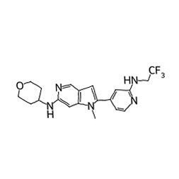 Cn1c(-c2ccnc(NCC(F)(F)F)c2)cc2cnc(NC3CCOCC3)cc21